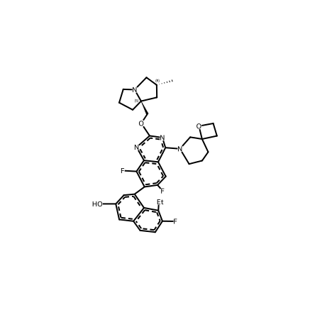 CCc1c(F)ccc2cc(O)cc(-c3c(F)cc4c(N5CCCC6(CCO6)C5)nc(OC[C@@]56CCCN5C[C@H](C)C6)nc4c3F)c12